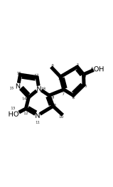 Cc1cc(O)ccc1-c1c(C)nc(O)c2nccn12